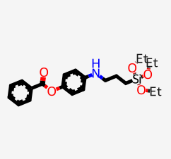 CCO[Si](CCCNc1ccc(OC(=O)c2ccccc2)cc1)(OCC)OCC